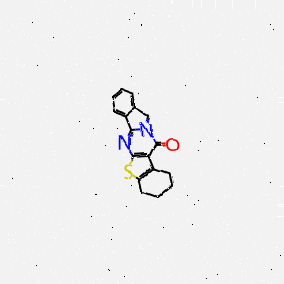 O=c1c2c3c(sc2nc2n1Cc1ccccc1-2)CCCC3